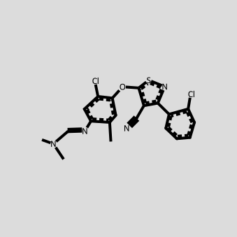 Cc1cc(Oc2snc(-c3ccccc3Cl)c2C#N)c(Cl)cc1N=CN(C)C